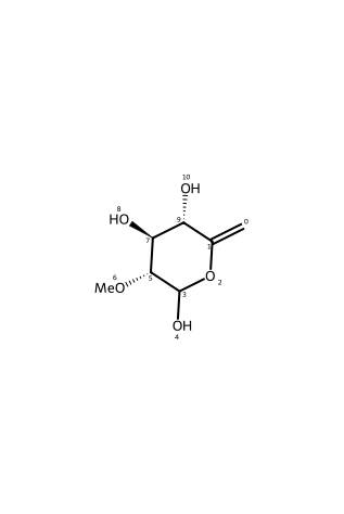 C=C1OC(O)[C@H](OC)[C@@H](O)[C@@H]1O